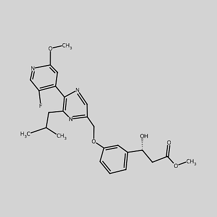 COC(=O)C[C@@H](O)c1cccc(OCc2cnc(-c3cc(OC)ncc3F)c(CC(C)C)n2)c1